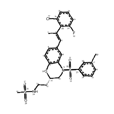 C/C(=C\c1ccc2c(c1)N(S(=O)(=O)c1cccc(C)c1)C[C@H](CCNS(C)(=O)=O)O2)c1c(F)cccc1Cl